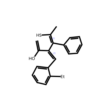 C=C(O)C(=C\c1ccccc1CC)/C(=C(/C)S)c1ccccc1